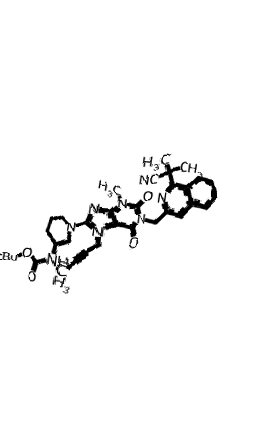 CC#CCn1c(N2CCCC(NC(=O)OC(C)(C)C)C2)nc2c1c(=O)n(Cc1cc3ccccc3c(C(C)(C)C#N)n1)c(=O)n2C